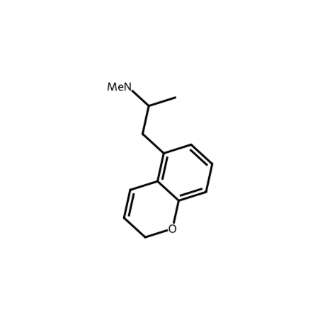 CNC(C)Cc1cccc2c1C=CCO2